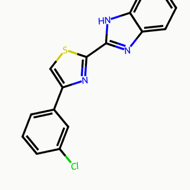 Clc1cccc(-c2csc(-c3nc4ccccc4[nH]3)n2)c1